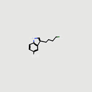 CC(=O)Oc1ccc2[nH]cc(CCCCCl)c2c1